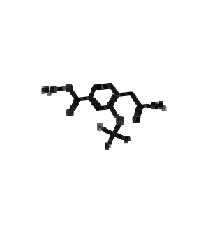 COC(=O)c1ccc(CC(N)=O)c(OC(F)(F)F)c1